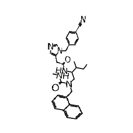 CCC(C)C(CN(Cc1cccc2ccccc12)C(=O)NC)NC(=O)Cc1cncn1Cc1ccc(C#N)cc1